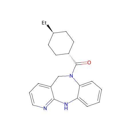 CC[C@H]1CC[C@H](C(=O)N2Cc3cccnc3Nc3ccccc32)CC1